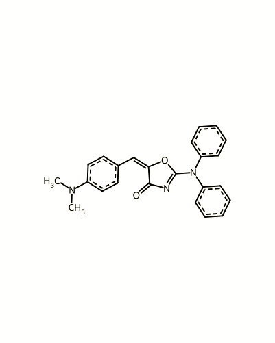 CN(C)c1ccc(/C=C2/OC(N(c3ccccc3)c3ccccc3)=NC2=O)cc1